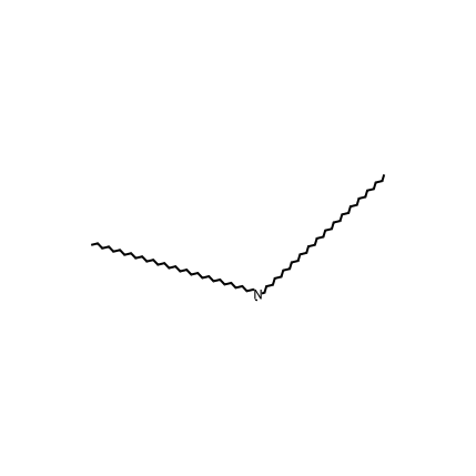 CCCCCCCCCCCCCCCCCCCCCCCCCCCCCCN(C)CCCCCCCCCCCCCCCCCCCCCCCCCCCCCC